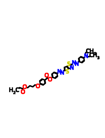 C=CC(=O)OCCCCOc1ccc(C(=O)Oc2ccc(N=Nc3cc4sc(N=Nc5ccc(N(CC)CC)cc5)nc4s3)cc2)cc1